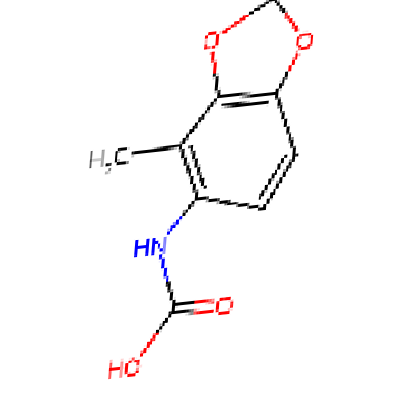 Cc1c(NC(=O)O)ccc2c1OCO2